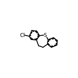 Clc1ccc2c(c1)CCc1ccccc1S2